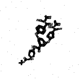 CC(=O)N(O)C(=N)c1ccc(Oc2cc(Oc3ccc(C(=N)N(O)C(C)=O)cc3)cc(C(=O)NC3CCC(NC(=O)OC(C)(C)C)CC3)c2)cc1